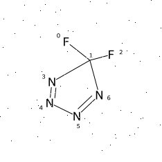 FC1(F)N=NN=N1